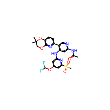 CC(=O)Nc1cc(Nc2cc(OC(F)F)cc(S(C)(=O)=O)n2)c(-c2ccc3c(n2)OCC(C)(C)O3)cn1